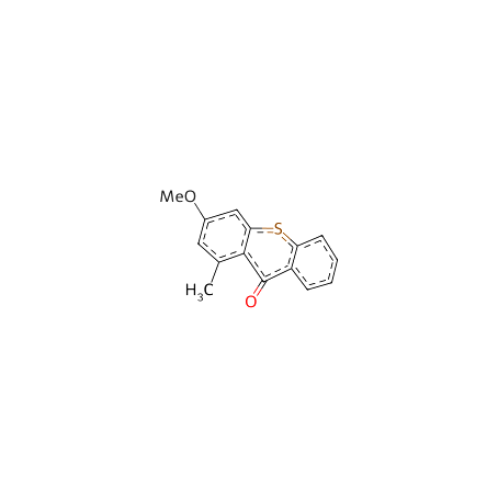 COc1cc(C)c2c(=O)c3ccccc3sc2c1